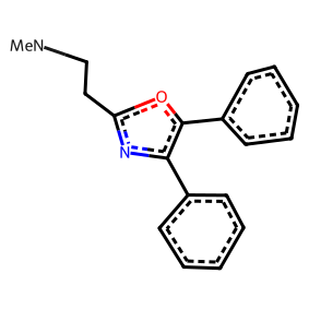 CNCCc1nc(-c2ccccc2)c(-c2ccccc2)o1